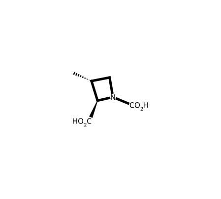 C[C@@H]1CN(C(=O)O)[C@H]1C(=O)O